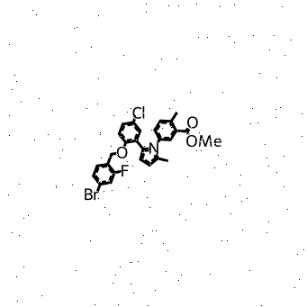 COC(=O)c1cc(-n2c(C)ccc2-c2cc(Cl)ccc2OCc2ccc(Br)cc2F)ccc1C